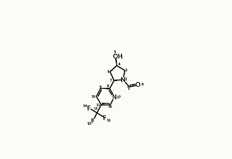 O=[C]N1CC(O)CC1c1ccc(C(F)(F)F)cn1